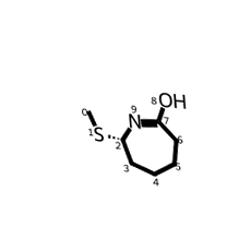 CS[C@H]1CCCCC(O)=N1